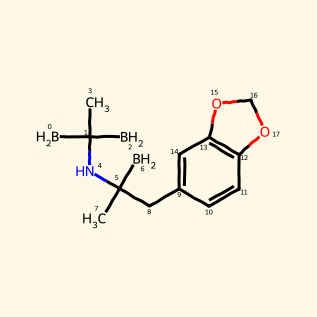 BC(B)(C)NC(B)(C)Cc1ccc2c(c1)OCO2